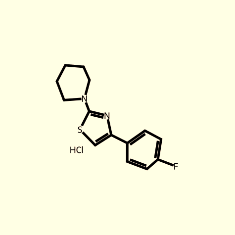 Cl.Fc1ccc(-c2csc(N3CCCCC3)n2)cc1